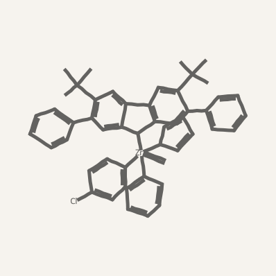 [CH2]=[Zr]([c]1ccccc1)([c]1ccc(Cl)cc1)([CH]1C=CC=C1)[CH]1c2cc(-c3ccccc3)c(C(C)(C)C)cc2-c2cc(C(C)(C)C)c(-c3ccccc3)cc21